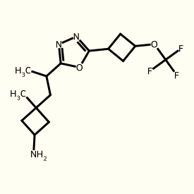 CC(CC1(C)CC(N)C1)c1nnc(C2CC(OC(F)(F)F)C2)o1